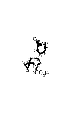 O=C(O)N1C[C@@H](c2cc[nH]c(=O)c2)CC12CC2